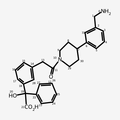 NCc1cccc(C2CCN(C(=O)Cc3cccc(C(O)(C(=O)O)c4ccccc4)c3)CC2)c1